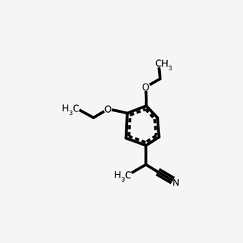 CCOc1ccc(C(C)C#N)cc1OCC